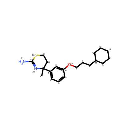 CC1(c2cccc(OCCCC3CCCCC3)c2)CCSC(N)=N1